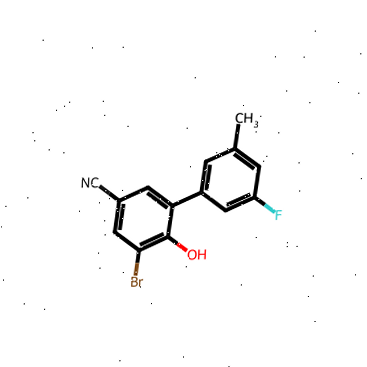 Cc1cc(F)cc(-c2cc(C#N)cc(Br)c2O)c1